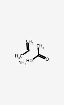 C=CC.CC(=O)O.N